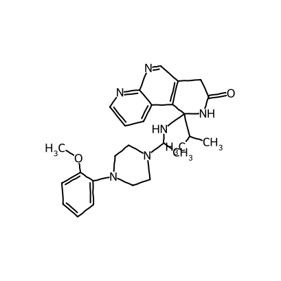 COc1ccccc1N1CCN(C(C)NC2(C(C)C)NC(=O)Cc3cnc4ncccc4c32)CC1